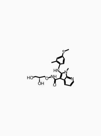 CSc1ccc(Nc2c(C(=O)NOC[C@@H](O)CO)c3cccnc3n2C)c(C)c1